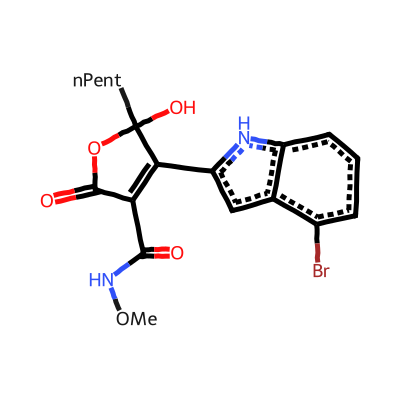 CCCCCC1(O)OC(=O)C(C(=O)NOC)=C1c1cc2c(Br)cccc2[nH]1